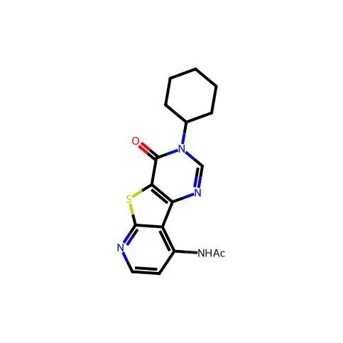 CC(=O)Nc1ccnc2sc3c(=O)n(C4CCCCC4)cnc3c12